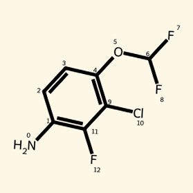 Nc1ccc(OC(F)F)c(Cl)c1F